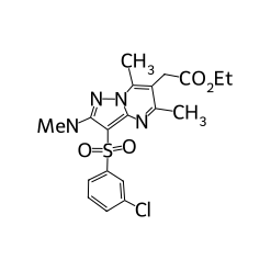 CCOC(=O)Cc1c(C)nc2c(S(=O)(=O)c3cccc(Cl)c3)c(NC)nn2c1C